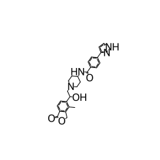 Cc1c(C(O)CN2CCC(NC(=O)c3ccc(-c4cc[nH]n4)cc3)CC2)ccc2c1COC2=O